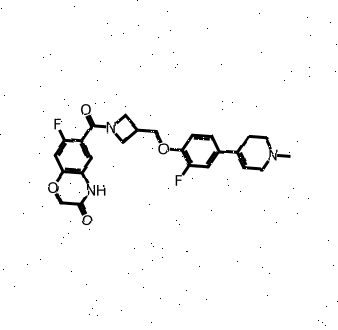 CN1CC=C(c2ccc(OCC3CN(C(=O)c4cc5c(cc4F)OCC(=O)N5)C3)c(F)c2)CC1